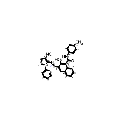 [C-]#[N+]c1cnn(-c2ccccn2)c1/N=N/c1cc2ccccc2c(C(=O)Nc2ccc(C)cc2)c1O